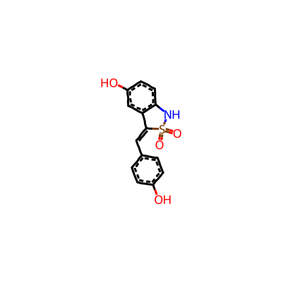 O=S1(=O)Nc2ccc(O)cc2C1=Cc1ccc(O)cc1